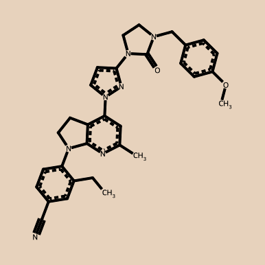 CCc1cc(C#N)ccc1N1CCc2c(-n3ccc(N4CCN(Cc5ccc(OC)cc5)C4=O)n3)cc(C)nc21